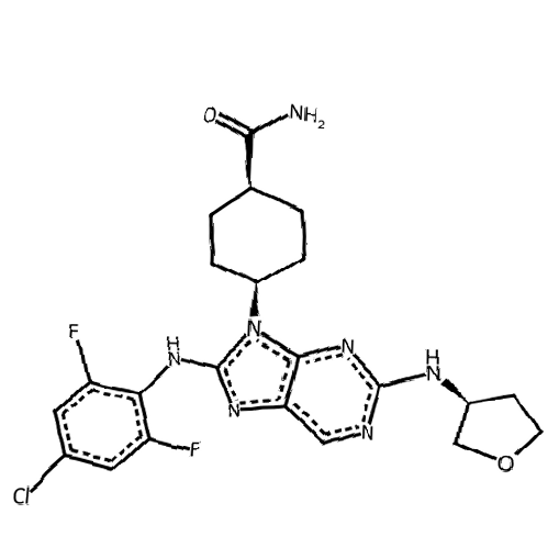 NC(=O)[C@H]1CC[C@@H](n2c(Nc3c(F)cc(Cl)cc3F)nc3cnc(N[C@H]4CCOC4)nc32)CC1